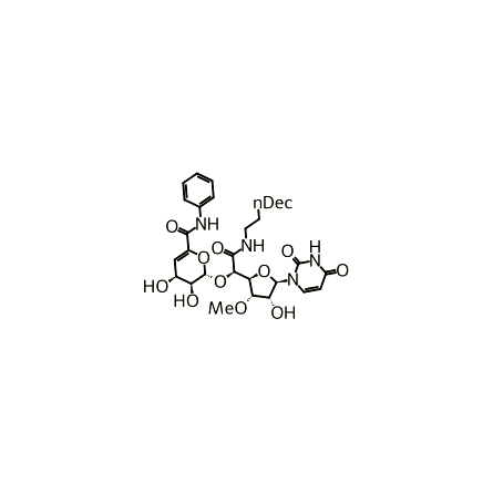 CCCCCCCCCCCCNC(=O)[C@H](O[C@H]1OC(C(=O)Nc2ccccc2)=C[C@H](O)[C@@H]1O)[C@H]1O[C@@H](n2ccc(=O)[nH]c2=O)[C@H](O)[C@@H]1OC